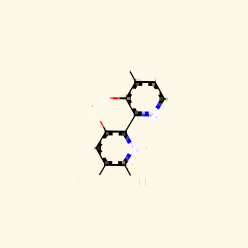 Cc1cc(O)c(-c2nccc(C)c2O)nc1C